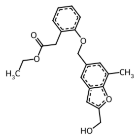 CCOC(=O)Cc1ccccc1OCc1cc(C)c2oc(CO)cc2c1